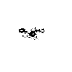 Cc1c(C)c2c(c(C)c1OCc1ccccc1)C[C@@H](CCN1CCOCC1)O2